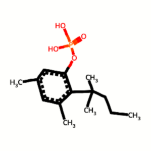 CCCC(C)(C)c1c(C)cc(C)cc1OP(=O)(O)O